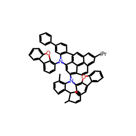 Cc1ccc(-c2ccccc2)cc1N(c1cc(N(c2c(C)cccc2C2C=CC=CC2C)c2cccc3c2oc2ccccc23)c2ccc3cc(C(C)C)cc4ccc1c2c43)c1cccc2c1oc1ccccc12